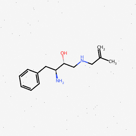 C=C(C)CNC[C@@H](O)[C@@H](N)Cc1ccccc1